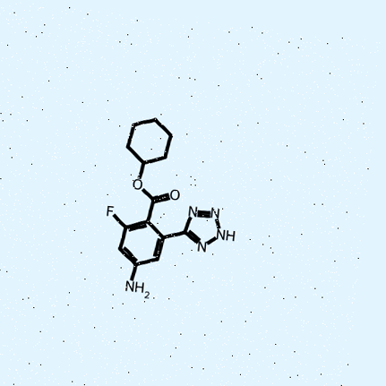 Nc1cc(F)c(C(=O)OC2CCCCC2)c(-c2nn[nH]n2)c1